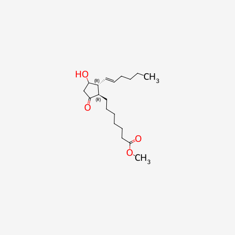 CCCCC=C[C@H]1C(O)CC(=O)[C@@H]1CCCCCCC(=O)OC